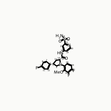 COc1c(N2C[C@H](c3ccc(F)cc3)C[C@@H]2C(=O)Nc2ccnc(S(N)(=O)=O)c2)ccc(F)c1F